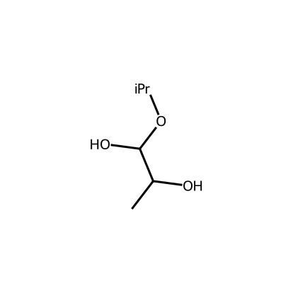 CC(C)OC(O)C(C)O